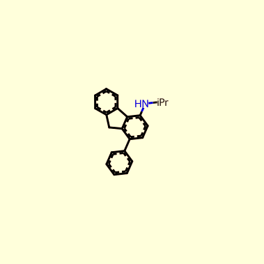 CC(C)Nc1ccc(-c2ccccc2)c2c1-c1ccccc1C2